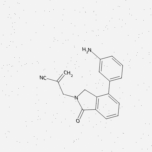 C=C(C#N)CN1Cc2c(cccc2-c2cccc(N)c2)C1=O